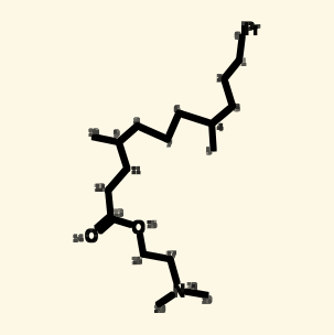 CC(C)CCCC(C)CCCC(C)CCC(=O)OCCN(C)C